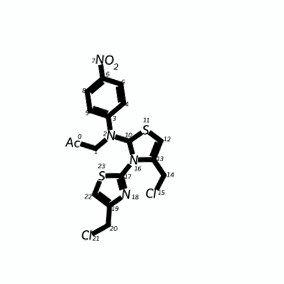 CC(=O)CN(c1ccc([N+](=O)[O-])cc1)C1SC=C(CCl)N1c1nc(CCl)cs1